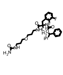 CC(C)C(OC(=O)NC(C)(Cc1cccc(F)c1F)C(=O)NCCCOCCCNC(N)=O)c1ccccc1